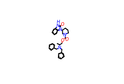 CC(COC(=O)N1CCCC(n2c(=O)[nH]c3ccccc32)C1)N(Cc1ccccc1)Cc1ccccc1